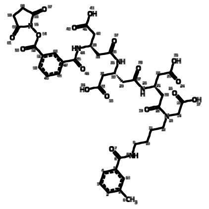 Cc1cccc(C(=O)NCCCCN(CC(=O)O)C(=O)C[C@H](CC(=O)O)NC(=O)C[C@H](CC(=O)O)NC(=O)C[C@H](CC(=O)O)NC(=O)c2cccc(C(=O)ON3C(=O)CCC3=O)c2)c1